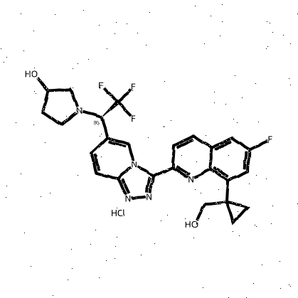 Cl.OCC1(c2cc(F)cc3ccc(-c4nnc5ccc([C@@H](N6CCC(O)C6)C(F)(F)F)cn45)nc23)CC1